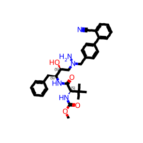 COC(=O)N[C@H](C(=O)N[C@@H](Cc1ccccc1)[C@@H](O)CN(N)Cc1ccc(-c2ccccc2C#N)cc1)C(C)(C)C